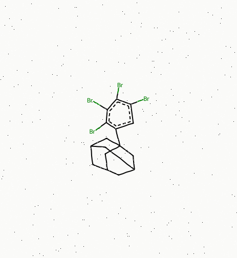 Brc1cc(C23CC4CC(CC(C4)C2)C3)c(Br)c(Br)c1Br